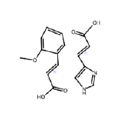 COc1ccccc1/C=C/C(=O)O.O=C(O)/C=C/c1c[nH]cn1